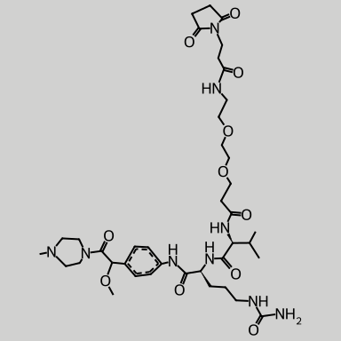 COC(C(=O)N1CCN(C)CC1)c1ccc(NC(=O)[C@H](CCCNC(N)=O)NC(=O)[C@@H](NC(=O)CCOCCOCCNC(=O)CCN2C(=O)CCC2=O)C(C)C)cc1